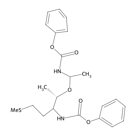 CSCCC(NC(=O)Oc1ccccc1)[C@H](C)OC(C)NC(=O)Oc1ccccc1